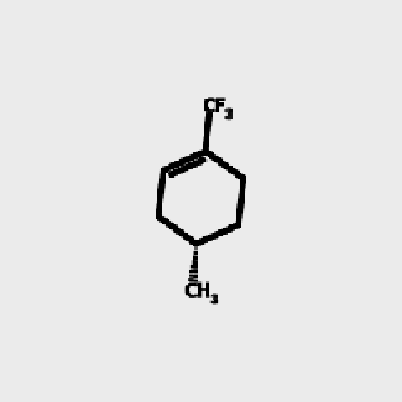 C[C@@H]1CC=C(C(F)(F)F)CC1